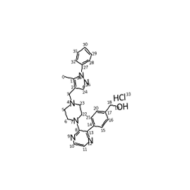 Cc1c(CN2CCN(c3nccnc3-c3ccc(CO)cc3)CC2)cnn1-c1ccccc1.Cl